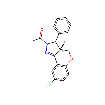 CC(=O)N1N=C2c3cc(Cl)ccc3OC[C@H]2C1c1ccccc1